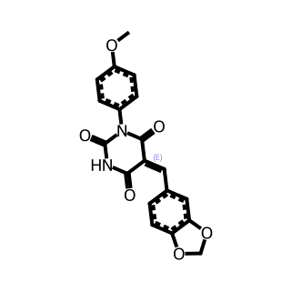 COc1ccc(N2C(=O)NC(=O)/C(=C\c3ccc4c(c3)OCO4)C2=O)cc1